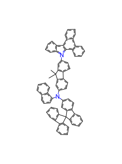 CC1(C)c2cc(N(c3ccc4c(c3)C3(c5ccccc5-c5ccccc53)c3ccccc3-4)c3cccc4ccccc34)ccc2-c2ccc(-n3c4ccccc4c4c5ccccc5c5ccccc5c43)cc21